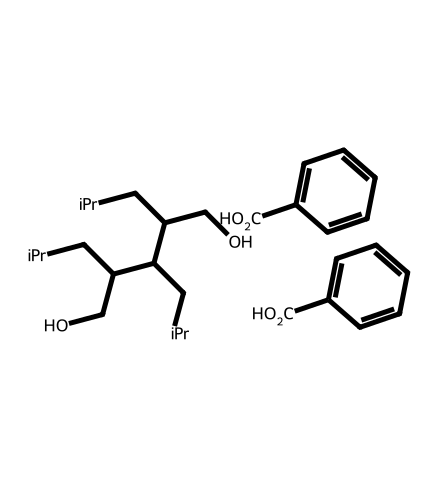 CC(C)CC(CO)C(CC(C)C)C(CO)CC(C)C.O=C(O)c1ccccc1.O=C(O)c1ccccc1